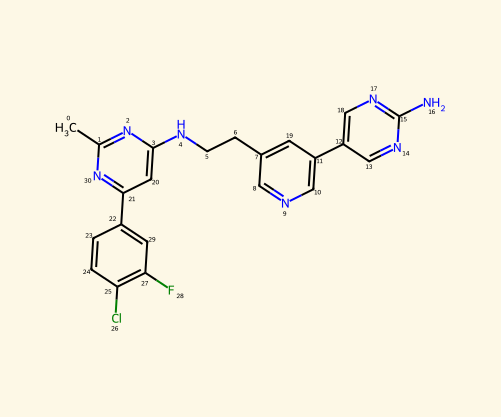 Cc1nc(NCCc2cncc(-c3cnc(N)nc3)c2)cc(-c2ccc(Cl)c(F)c2)n1